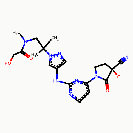 CN(CC(C)(C)n1cc(Nc2nccc(N3CC[C@](O)(C#N)C3=O)n2)cn1)C(=O)CO